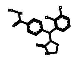 O=C(NO)c1ccc(N(c2cccc(Cl)c2Cl)C2CCNC2=O)cc1